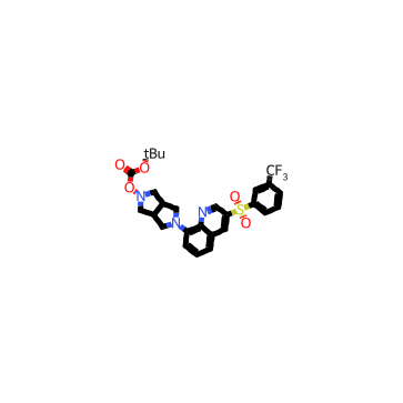 CC(C)(C)OC(=O)ON1CC2CN(c3cccc4cc(S(=O)(=O)c5cccc(C(F)(F)F)c5)cnc34)CC2C1